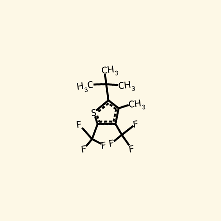 Cc1c(C(C)(C)C)sc(C(F)(F)F)c1C(F)(F)F